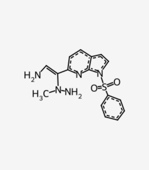 CN(N)/C(=C\N)c1ccc2ccn(S(=O)(=O)c3ccccc3)c2n1